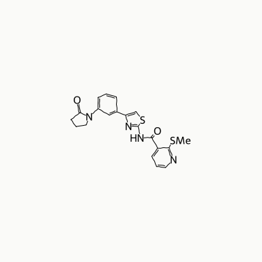 CSc1ncccc1C(=O)Nc1nc(-c2cccc(N3CCCC3=O)c2)cs1